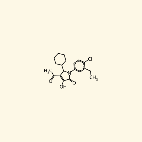 CCc1cc(N2C(=O)C(O)=C(C(C)=O)C2C2CCCCC2)ccc1Cl